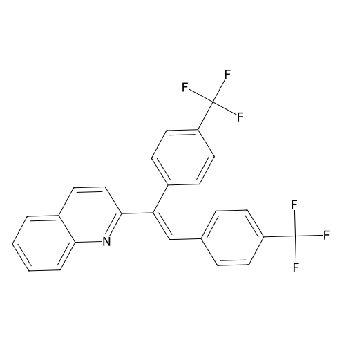 FC(F)(F)c1ccc(C=C(c2ccc(C(F)(F)F)cc2)c2ccc3ccccc3n2)cc1